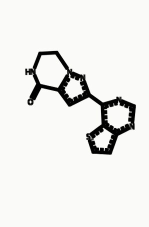 O=C1NCCn2nc(-c3ncnc4ccsc34)cc21